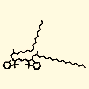 CCCCCCCCCCCCCCCC(C)CC1/C(=C/C=C/C2=[N+](CC(C)CCCCCCCCCCCCCCC)c3ccccc3C2(C)C)C(C)(C)c2ccccc21